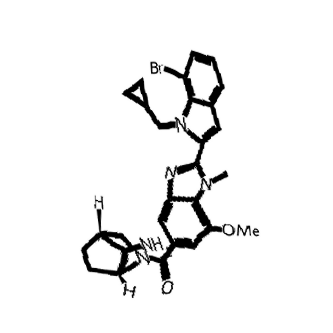 COc1cc(C(=O)N2C[C@H]3CC[C@@H]2C3N)cc2nc(-c3cc4cccc(Br)c4n3CC3CC3)n(C)c12